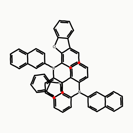 c1ccc(N(c2ccc3ccccc3c2)c2cccc3c2oc2ccccc23)c(-c2ccccc2N(c2ccc3ccccc3c2)c2cccc3c2oc2ccccc23)c1